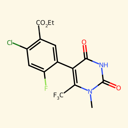 CCOC(=O)c1cc(-c2c(C(F)(F)F)n(C)c(=O)[nH]c2=O)c(F)cc1Cl